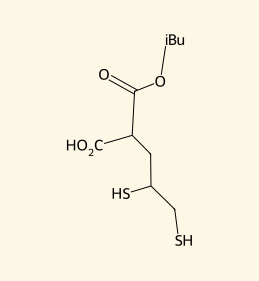 CCC(C)OC(=O)C(CC(S)CS)C(=O)O